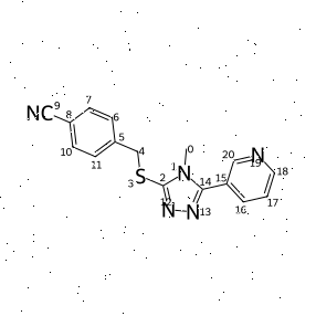 Cn1c(SCc2ccc(C#N)cc2)nnc1-c1cccnc1